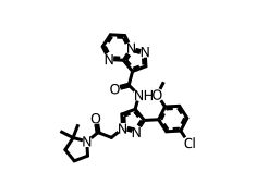 COc1ccc(Cl)cc1-c1nn(CC(=O)N2CCCC2(C)C)cc1NC(=O)c1cnn2cccnc12